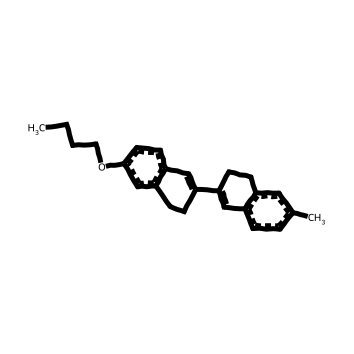 CCCCOc1ccc2c(c1)CCC(C1=Cc3ccc(C)cc3CC1)=C2